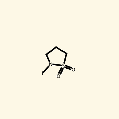 O=S1(=O)CCCN1I